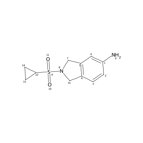 Nc1ccc2c(c1)CN(S(=O)(=O)C1CC1)C2